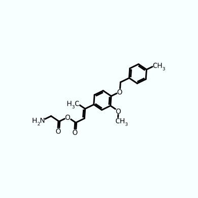 COc1cc(C(C)=CC(=O)OC(=O)CN)ccc1OCc1ccc(C)cc1